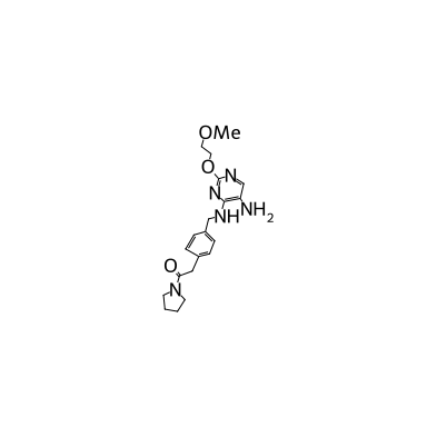 COCCOc1ncc(N)c(NCc2ccc(CC(=O)N3CCCC3)cc2)n1